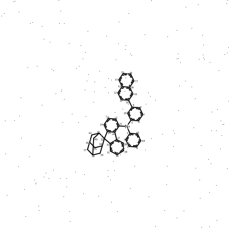 c1ccc(N(c2cccc(-c3ccc4ccccc4c3)c2)c2cccc3c2-c2ccccc2C32C3CC4CC(C3)CC2C4)cc1